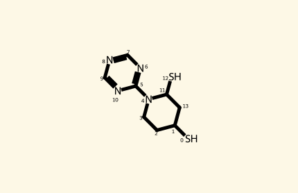 SC1CCN(c2ncncn2)C(S)C1